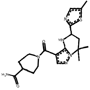 Cc1cnc(C2CC(C)(C)n3ncc(C(=O)N4CCC(C(N)=O)CC4)c3N2)s1